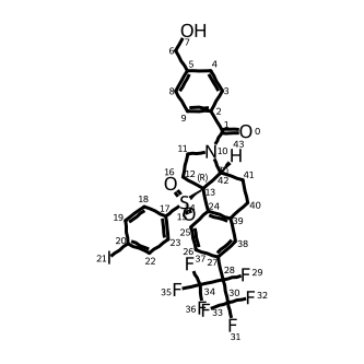 O=C(c1ccc(CO)cc1)N1CC[C@@]2(S(=O)(=O)c3ccc(I)cc3)c3ccc(C(F)(C(F)(F)F)C(F)(F)F)cc3CC[C@@H]12